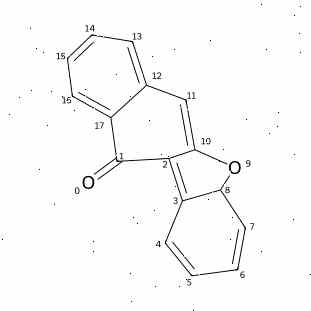 O=C1C2=C3C=CC=CC3OC2=Cc2ccccc21